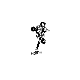 CC(C)CC(NC(=O)N1CCCCCC1)C(=O)NC(Cc1cn(C)c2ccccc12)C(=O)N[C@H](Cc1ccccn1)C(=O)OCCCCCCON(O)O